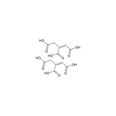 O=C(O)C=C(CC(=O)O)C(=O)O.O=C(O)C=C(CC(=O)O)C(=O)O